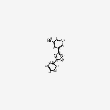 Brc1cncc(-c2nnc(-c3cccnc3)o2)c1